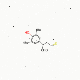 CC(C)(C)c1cc(C(C=O)CC=S)cc(C(C)(C)C)c1O